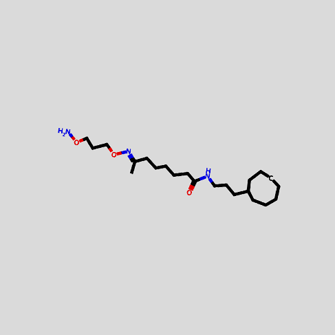 C/C(CCCCCC(=O)NCCCC1CCCCCCC1)=N\OCCCON